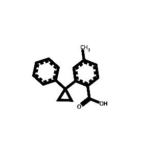 Cc1ccc(C(=O)O)c(C2(c3ccccc3)CC2)c1